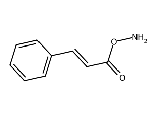 NOC(=O)C=Cc1ccccc1